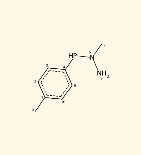 Cc1ccc(PN(C)N)cc1